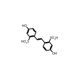 O=S(=O)(O)c1cc(O)ccc1C=Cc1ccc(O)cc1S(=O)(=O)O